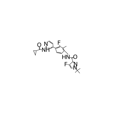 Cc1c(CNC(=O)c2nn(C(C)(C)C)cc2F)ccc(-c2ccnc(NC(=O)C3CC3)c2)c1F